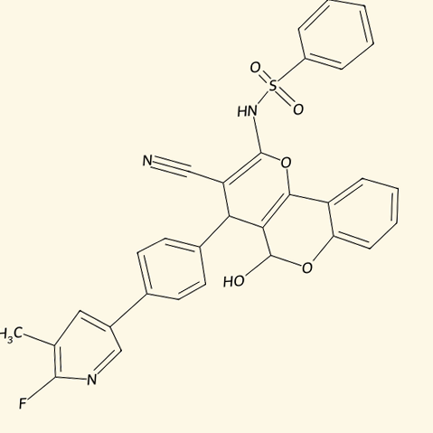 Cc1cc(-c2ccc(C3C(C#N)=C(NS(=O)(=O)c4ccccc4)OC4=C3C(O)Oc3ccccc34)cc2)cnc1F